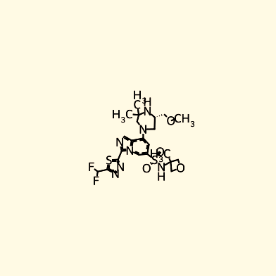 COC[C@@H]1CN(c2cc(S(=O)(=O)NC3(C)COC3)cn3c(-c4nnc(C(F)F)s4)ncc23)CC(C)(C)N1